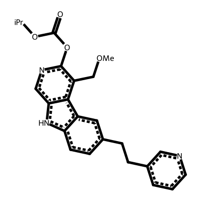 COCc1c(OC(=O)OC(C)C)ncc2[nH]c3ccc(CCc4cccnc4)cc3c12